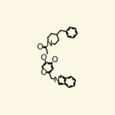 O=C(COc1coc(Cn2cc3ccccc3c2)cc1=O)N1CCC(Cc2ccccc2)CC1